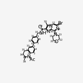 CC(=O)N1c2ccc(-c3ccc(CNC(=O)c4nc5c(N6CCOCC6)nc(Br)cn5c4C)cc3)cc2CC[C@@H]1C